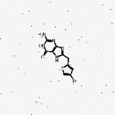 Nc1nc2nc(Cc3cc(Br)cs3)[nH]c2c(=O)[nH]1